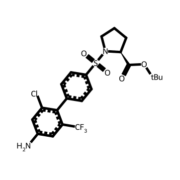 CC(C)(C)OC(=O)[C@@H]1CCCN1S(=O)(=O)c1ccc(-c2c(Cl)cc(N)cc2C(F)(F)F)cc1